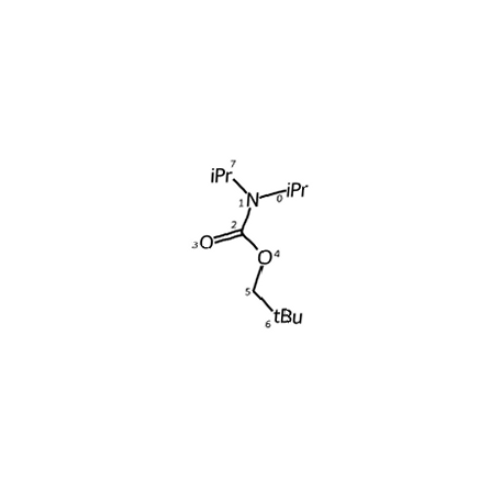 CC(C)N(C(=O)OCC(C)(C)C)C(C)C